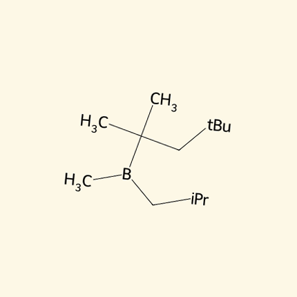 CB(CC(C)C)C(C)(C)CC(C)(C)C